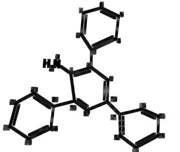 Nc1c(-c2ccccc2)cc(-c2ccccc2)cc1-c1ccccc1